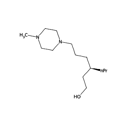 CCC[C@@H](CCO)CCCN1CCN(C)CC1